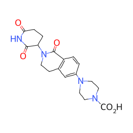 O=C1CCC(N2CCc3cc(N4CCN(C(=O)O)CC4)ccc3C2=O)C(=O)N1